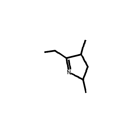 CCC1=NC(C)CC1C